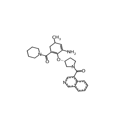 CC1C=C(N)C(O[C@@H]2CCN(C(=O)c3cncc4ccccc34)C2)=C(C(=O)N2CCCCC2)C1